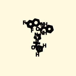 CC(C)(C(=O)N1[C@@H]2CC[C@H]1C2)n1cnc(NC(=O)[C@@H](NC2CCc3cc(F)cc(F)c3C2)c2ccccc2)c1